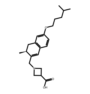 CC(C)CCCOc1ccc2c(c1)C[C@H](C)C(CN1CC(C(=O)O)C1)=C2